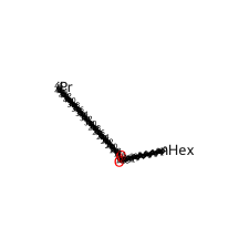 CCCCCCC=CCCCCCCCCCCCC(=O)OCCCCCCCCCCCCCCCCCCCCCCCCCCCCCC(C)C